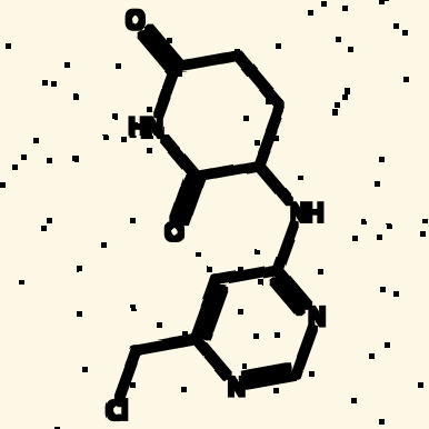 O=C1CCC(Nc2cc(CCl)ncn2)C(=O)N1